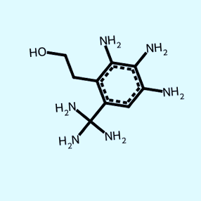 Nc1cc(C(N)(N)N)c(CCO)c(N)c1N